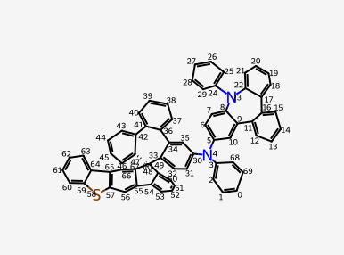 c1ccc(N(c2ccc3c(c2)-c2ccccc2-c2ccccc2N3c2ccccc2)c2ccc3c(c2)-c2ccccc2-c2ccccc2[C@@]32c3ccccc3-c3cc4sc5ccccc5c4cc32)cc1